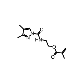 C=C(C)C(=O)OCCNC(=O)n1cc(C)c(C)n1